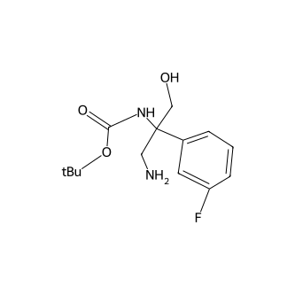 CC(C)(C)OC(=O)NC(CN)(CO)c1cccc(F)c1